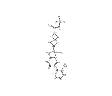 Cc1c(N2CC3(CN(C(=O)OC(C)(C)C)C3)C2)sc2nnc(-c3ccccc3O)cc12